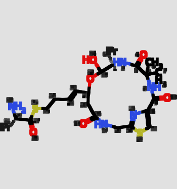 CC(C)[C@@H]1NC(=O)C(C)(C)NC(=O)c2csc(n2)CNC(=O)C[C@@H](/C=C/CCSC(=O)[C@@H](N)C(C)C)OC1O